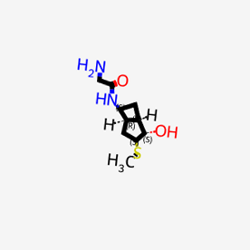 CS[C@H]1C[C@@H]2[C@@H](C[C@@H]2NC(=O)CN)[C@@H]1O